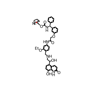 CCOc1cc(NC(=O)COc2cccc([C@@H](NC(=O)OC3CN4CCC3CC4)c3ccccc3)c2)ccc1CNCC(O)c1ccc(O)c2[nH]c(=O)ccc12